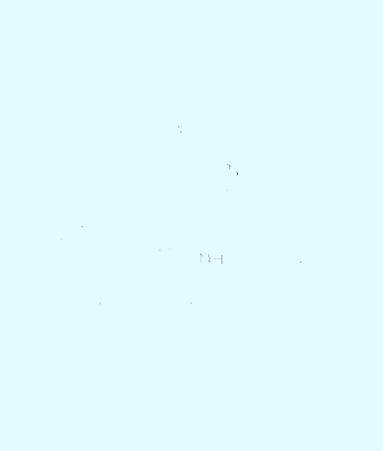 O=C(Cc1ccccc1C(=O)NC1CCC(N2C=CSCc3ccccc32)c2ccc3c(c21)CCc1ccccc1-3)c1ccccc1